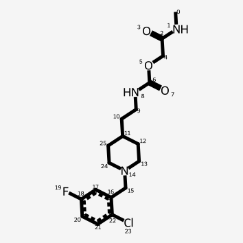 CNC(=O)COC(=O)NCCC1CCN(Cc2cc(F)ccc2Cl)CC1